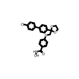 O=C(NO)c1ccc(OCC2(c3ccc(-c4ccc(Cl)cc4)cc3)OCCO2)cc1